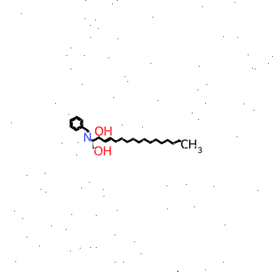 CCCCCCCCCCCCC/C=C/[C@@H](O)[C@H](CO)/N=C/c1ccccc1